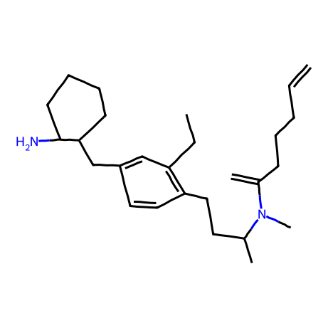 C=CCCCC(=C)N(C)C(C)CCc1ccc(CC2CCCCC2N)cc1CC